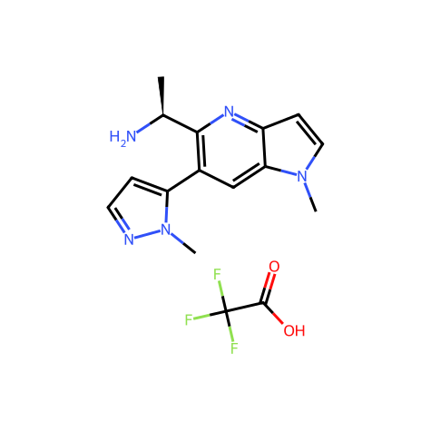 C[C@H](N)c1nc2ccn(C)c2cc1-c1ccnn1C.O=C(O)C(F)(F)F